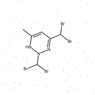 CC1=CC(C(Br)Br)=NN(C(Br)Br)N1